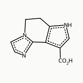 O=C(O)c1c[nH]c2c1-c1nccn1CC2